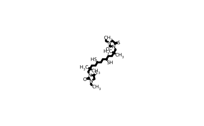 CCN1CC(=S)N(CC(C)(C)CCC(S)CCC(S)CCC(C)(C)CN2C(=O)N(CC)CC2=S)C1=O